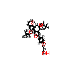 CC(C)(C)[Si](C)(C)OC1=CC2=C[C@H](c3ccc(OCCCO)cc3)OC=C2c2c(O[Si](C)(C)C(C)(C)C)cc3c(c2C1)OCC=C3